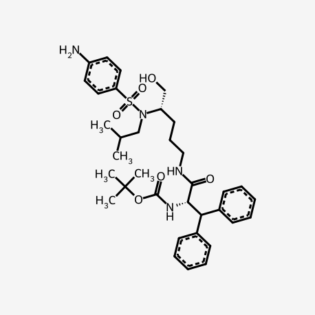 CC(C)CN([C@H](CO)CCCNC(=O)[C@@H](NC(=O)OC(C)(C)C)C(c1ccccc1)c1ccccc1)S(=O)(=O)c1ccc(N)cc1